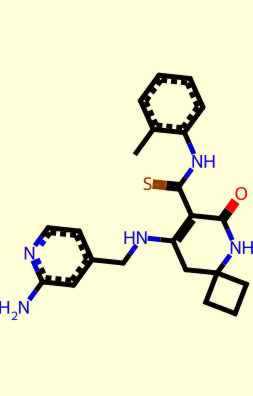 Cc1ccccc1NC(=S)C1=C(NCc2ccnc(N)c2)CC2(CCC2)NC1=O